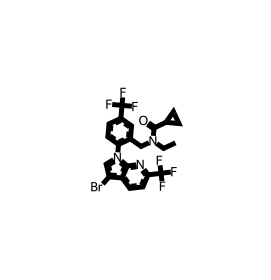 CCN(Cc1cc(C(F)(F)F)ccc1-n1cc(Br)c2ccc(C(F)(F)F)nc21)C(=O)C1CC1